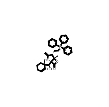 C=C1N[C@@]2([C@@H](O)[C@]3(C)C=CCCC3)C(=O)O[C@@]2(C)[C@H]1CC[PH](c1ccccc1)(c1ccccc1)c1ccccc1